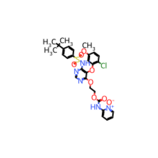 COc1ccc(Cl)c(Oc2c(NS(=O)(=O)c3ccc(C(C)(C)C)cc3)ncnc2OCCOC(=O)Nc2cccc[n+]2[O-])c1